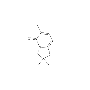 Cc1cc(C)c(=O)n2c1CC(C)(C)C2